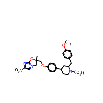 CC1(COc2ccc(C3CCN(C(=O)O)C(Cc4ccc(OC(F)(F)F)cc4)C3)cc2)Cn2cc([N+](=O)[O-])nc2O1